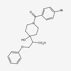 O=C(O)C(COc1ccccc1)C1(O)CCN(C(=O)c2ccc(Br)cc2)CC1